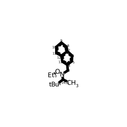 CCON(Cc1ccc2ccccc2c1)C(C)C(C)(C)C